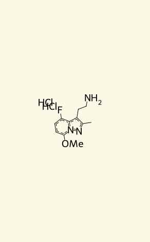 COc1ccc(F)c2c(CCN)c(C)nn12.Cl.Cl